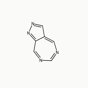 c1ncc2cnnc-2cn1